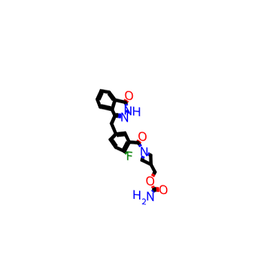 NC(=O)OCC1CN(C(=O)c2cc(Cc3n[nH]c(=O)c4ccccc34)ccc2F)C1